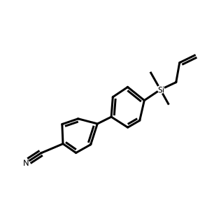 C=CC[Si](C)(C)c1ccc(-c2ccc(C#N)cc2)cc1